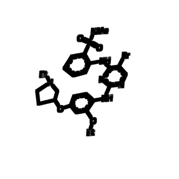 CCOc1cc(OC2CCN(CC)C2)ccc1Nc1ncc(Br)c(Nc2ccccc2S(=O)(=O)NC)n1